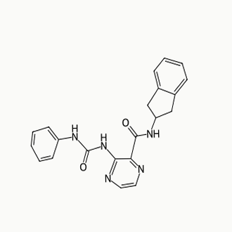 O=C(Nc1ccccc1)Nc1nccnc1C(=O)NC1Cc2ccccc2C1